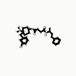 CC(CCc1ccccc1)NC(=O)CCC(=O)NC1CCC(Cc2cccc(Cl)c2)(N(C)C)CC1